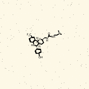 CN(C)CCNC(=O)NC[C@H]1CC[C@@H]2[C@H](O1)c1cc(C(F)(F)F)ccc1N[C@H]2c1ccc(O)cc1